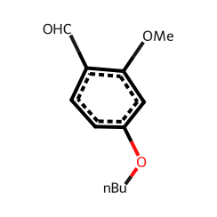 [CH]CCCOc1ccc(C=O)c(OC)c1